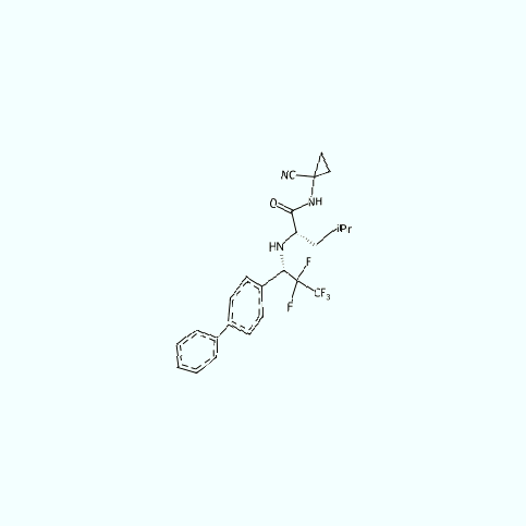 CC(C)C[C@H](N[C@@H](c1ccc(-c2ccccc2)cc1)C(F)(F)C(F)(F)F)C(=O)NC1(C#N)CC1